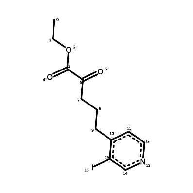 CCOC(=O)C(=O)CCCc1ccncc1I